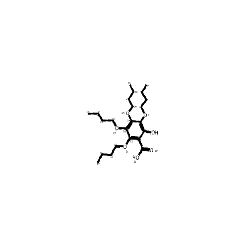 CCCCOc1c(O)c(C(=O)O)c(OCCCC)c(OCCCC)c1OCCCC